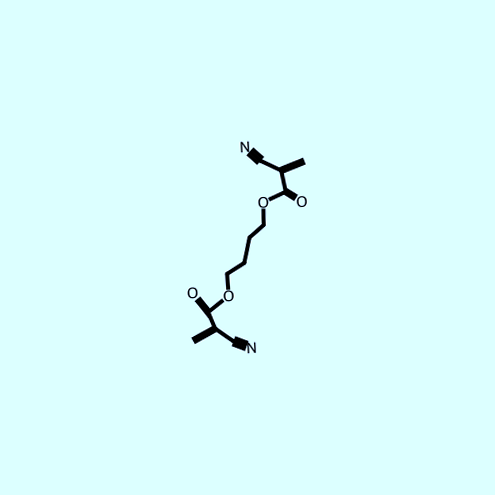 C=C(C#N)C(=O)OCCCCOC(=O)C(=C)C#N